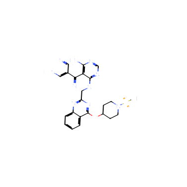 CS(=O)(=O)N1CCC(Oc2nc(CNc3ncnc(N)c3C(=N)/C(C=N)=C/N)nc3ccccc23)CC1